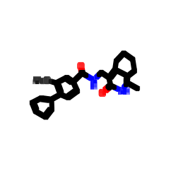 COc1cc(C(=O)NCc2c3c(c(C)[nH]c2=O)CCCC3)ccc1-c1ccccc1